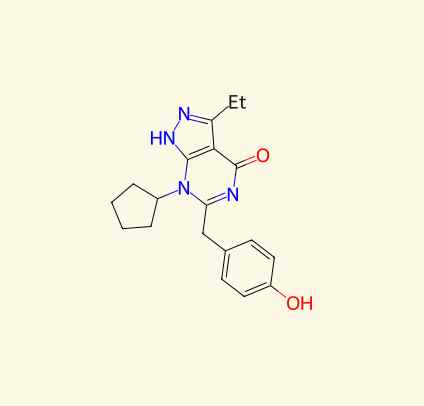 CCc1n[nH]c2c1c(=O)nc(Cc1ccc(O)cc1)n2C1CCCC1